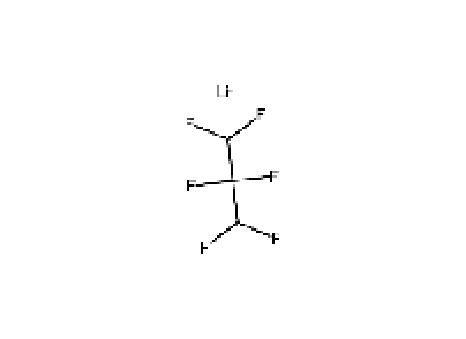 FC(F)C(F)(F)C(F)F.[Li]